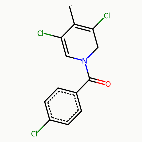 [CH2]C1=C(Cl)CN(C(=O)c2ccc(Cl)cc2)C=C1Cl